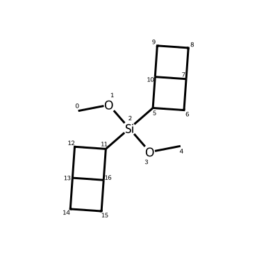 CO[Si](OC)(C1CC2CCC21)C1CC2CCC21